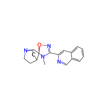 CN1C(c2cc3ccccc3cn2)=NO[C@@]12CN1CCC2CC1